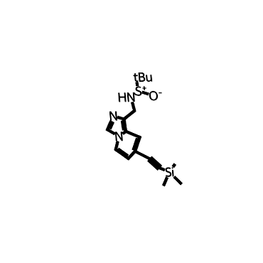 CC(C)(C)[S+]([O-])NCc1ncn2ccc(C#C[Si](C)(C)C)cc12